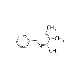 CC=C(C)C(C)=NCc1ccccc1